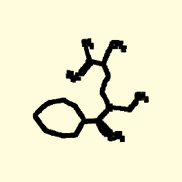 C=C(C)C(C)CCN(CC)C(=C)C1CCCCCCC1